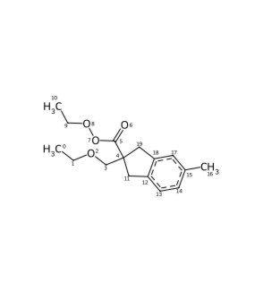 CCOCC1(C(=O)OOCC)Cc2ccc(C)cc2C1